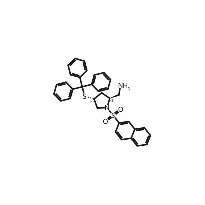 NC[C@@H]1C[C@@H](SC(c2ccccc2)(c2ccccc2)c2ccccc2)CN1S(=O)(=O)c1ccc2ccccc2c1